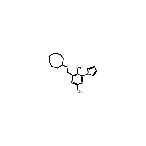 CC(C)(C)c1cc(CSC2CCCCCCC2)c(O)c(-n2cccc2)c1